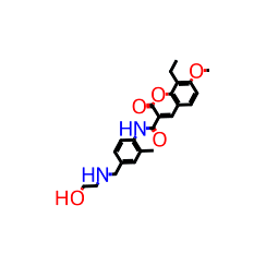 CCc1c(OC)ccc2cc(C(=O)Nc3ccc(CNCCO)cc3C)c(=O)oc12